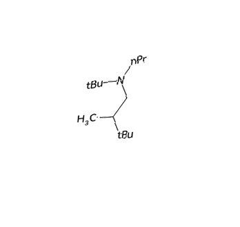 CCCN(CC(C)C(C)(C)C)C(C)(C)C